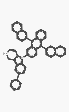 C1=Cc2c(c3cc(-c4ccccc4)ccc3n2-c2ccc3c(-c4ccc5ccccc5c4)c4ccccc4c(-c4ccc5ccccc5c4)c3c2)CN1